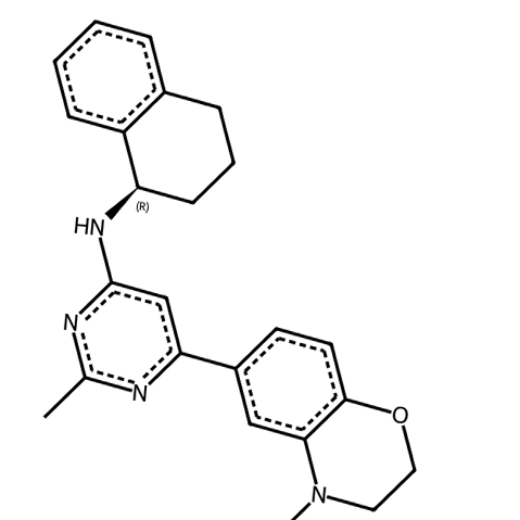 Cc1nc(N[C@@H]2CCCc3ccccc32)cc(-c2ccc3c(c2)N(C)CCO3)n1